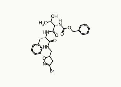 C[C@@H](O)[C@H](NC(=O)OCc1ccccc1)C(=O)N[C@@H](Cc1ccccc1)C(=O)NCC1CC(Br)=NO1